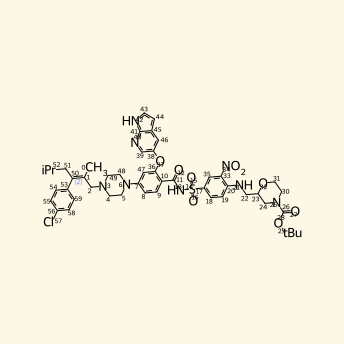 C/C(CN1CCN(c2ccc(C(=O)NS(=O)(=O)c3ccc(NCC4CN(C(=O)OC(C)(C)C)CCO4)c([N+](=O)[O-])c3)c(Oc3cnc4[nH]ccc4c3)c2)CC1)=C(\CC(C)C)c1ccc(Cl)cc1